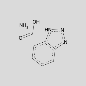 N.O=CO.c1ccc2[nH]nnc2c1